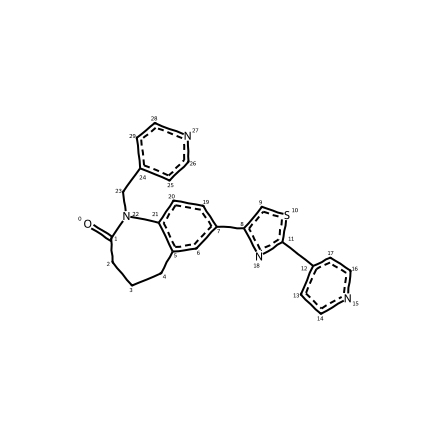 O=C1CCCc2cc(-c3csc(-c4ccncc4)n3)ccc2N1Cc1ccncc1